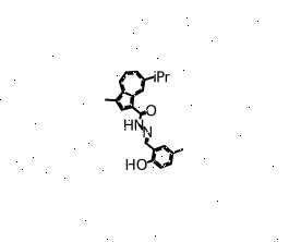 Cc1ccc(O)c(/C=N/NC(=O)c2cc(C)c3cccc(C(C)C)cc2-3)c1